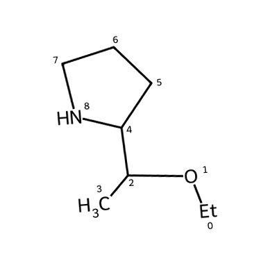 CCOC(C)C1CCCN1